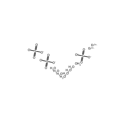 O.O.O.O.O.O.O.O.O=S(=O)([O-])[O-].O=S(=O)([O-])[O-].O=S(=O)([O-])[O-].[Er+3].[Er+3]